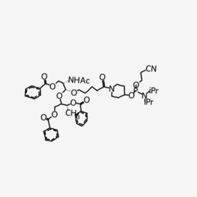 CC(=O)N[C@@H](COC(=O)c1ccccc1)[C@H](OCCCCC(=O)N1CCC(OP(OCCC#N)N(C(C)C)C(C)C)CC1)OC(COC(=O)c1ccccc1)[C@@H](C)OC(=O)c1ccccc1